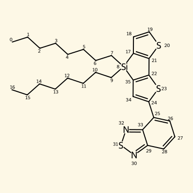 CCCCCCCC[Si]1(CCCCCCCC)c2ccsc2-c2sc(-c3cccc4nsnc34)cc21